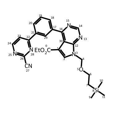 CCOC(=O)c1cn(COCC[Si](C)(C)C)c2ncnc(-c3cccc(-c4ccnc(C#N)n4)c3)c12